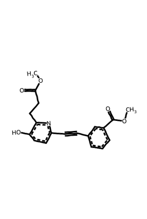 COC(=O)CCc1nc(C#Cc2cccc(C(=O)OC)c2)ccc1O